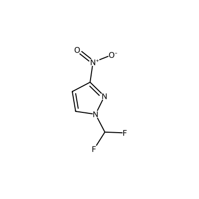 O=[N+]([O-])c1ccn(C(F)F)n1